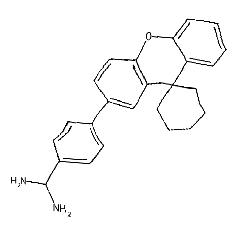 NC(N)c1ccc(-c2ccc3c(c2)C2(CCCCC2)c2ccccc2O3)cc1